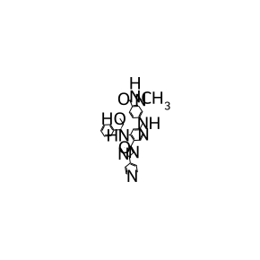 Cn1[nH]c(=O)c2ccc(Nc3cc(N[C@H](CO)c4ccccc4)c(-c4nc(-c5ccncc5)no4)cn3)cc21